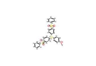 COc1ccc([S+](c2ccc(S(=O)(=O)c3ccccc3)cc2)c2ccc(S(=O)(=O)c3ccccc3)cc2)cc1